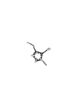 CCCc1c(CC(C)C)nnn1C